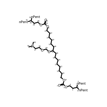 CCCCCC(CCCCC)CCOC(=O)OCCCCCCCCC(CCCCCCOC(=O)OCCC(CCCCC)CCCCC)OCOCCN(C)C